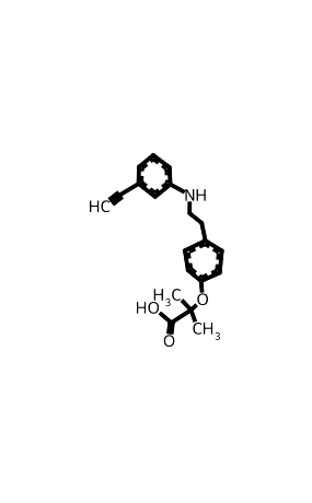 C#Cc1cccc(NCCc2ccc(OC(C)(C)C(=O)O)cc2)c1